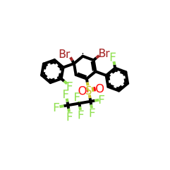 O=S(=O)(C1=CC(Br)(c2ccccc2F)[CH]C(Br)=C1c1ccccc1F)C(F)(F)C(F)(F)C(F)(F)F